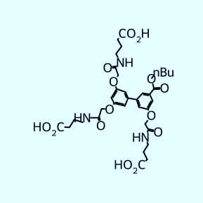 CCCCOC(=O)c1cc(OCC(=O)NCCCC(=O)O)cc(-c2cc(OCC(=O)NCCCC(=O)O)cc(OCC(=O)NCCCC(=O)O)c2)c1